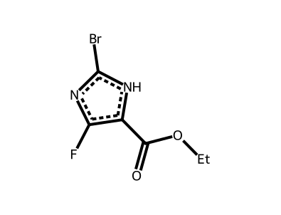 CCOC(=O)c1[nH]c(Br)nc1F